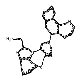 CCc1nc2cccc3c2n1-c1cc(-c2cc4ccccc4c4ncccc24)ccc1O3